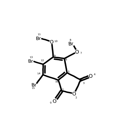 O=C1OC(=O)c2c(OBr)c(OBr)c(Br)c(Br)c21